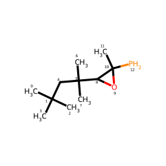 CC(C)(C)CC(C)(C)C1OC1(C)P